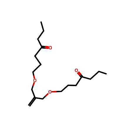 C=C(COCCCC(=O)CCC)COCCCC(=O)CCC